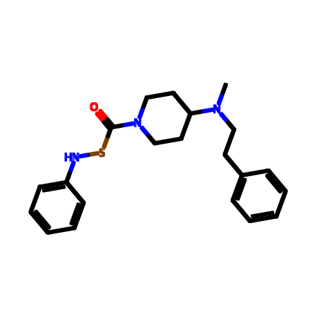 CN(CCc1ccccc1)C1CCN(C(=O)SNc2ccccc2)CC1